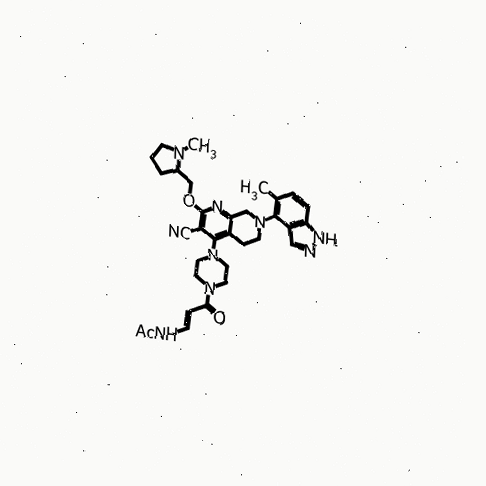 CC(=O)NC=CC(=O)N1CCN(c2c(C#N)c(OCC3CCCN3C)nc3c2CCN(c2c(C)ccc4[nH]ncc24)C3)CC1